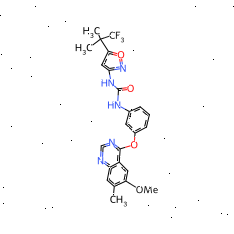 COc1cc2c(Oc3cccc(NC(=O)Nc4cc(C(C)(C)C(F)(F)F)on4)c3)ncnc2cc1C